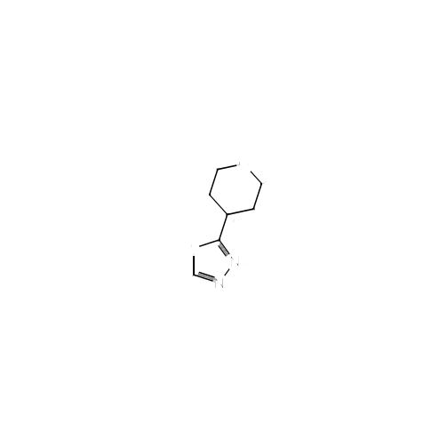 c1nnc(C2CCOCC2)s1